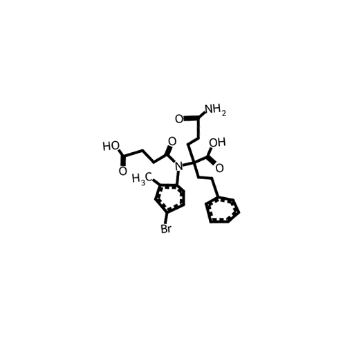 Cc1cc(Br)ccc1N(C(=O)CCC(=O)O)C(CCC(N)=O)(CCc1ccccc1)C(=O)O